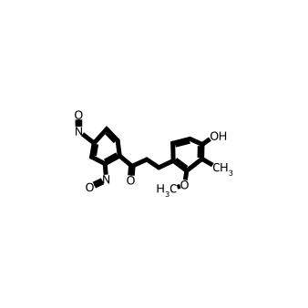 COc1c(CCC(=O)c2ccc(N=O)cc2N=O)ccc(O)c1C